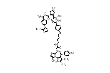 Cc1ncsc1-c1ccc([C@H](C)NC(=O)[C@@H]2C[C@@H](O)CN2C(=O)[C@@H](NC(=O)c2ccc(OCCCCNC(=O)C[C@@H]3N=C(c4ccc(Cl)cc4)c4c(sc(C)c4C)-n4c(C)nnc43)cn2)C(C)(C)C)cc1